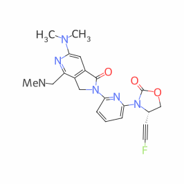 CNCc1nc(N(C)C)cc2c1CN(c1cccc(N3C(=O)OC[C@@H]3C#CF)n1)C2=O